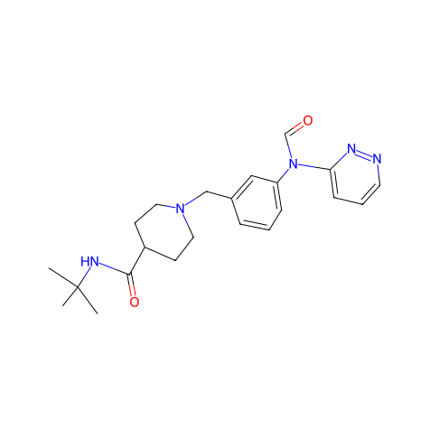 CC(C)(C)NC(=O)C1CCN(Cc2cccc(N(C=O)c3cccnn3)c2)CC1